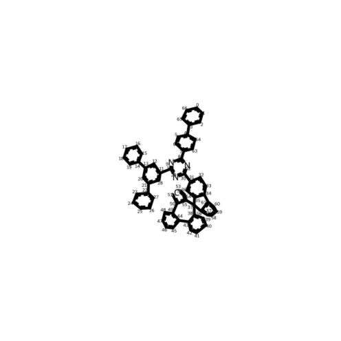 c1ccc(-c2ccc(-c3nc(-c4cc(-c5ccccc5)cc(-c5ccccc5)c4)nc(-c4ccc5c(c4)C4(c6ccccc6-c6ccccc6-c6ccccc64)c4ccccc4-5)n3)cc2)cc1